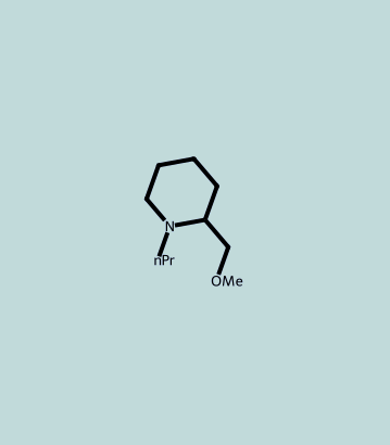 [CH2]CCN1CCCCC1COC